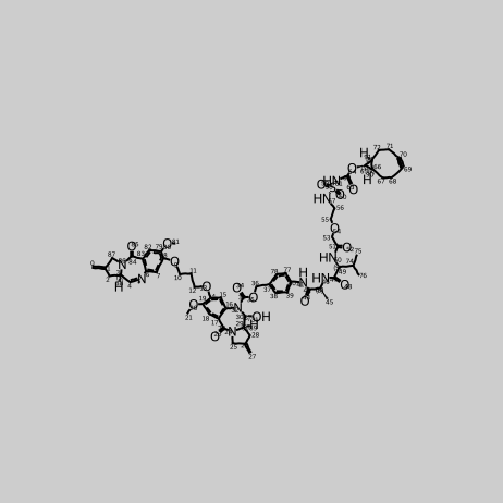 C=C1C[C@H]2C=Nc3cc(OCCCOc4cc5c(cc4OC)C(=O)N4CC(=C)C[C@H]4[C@H](O)N5C(=O)OCc4ccc(NC(=O)[C@H](C)NC(=O)[C@@H](NC(=O)COCCNS(=O)(=O)NC(=O)O[C@@H]5[C@@H]6CCC#CCC[C@@H]65)C(C)C)cc4)c(OC)cc3C(=O)N2C1